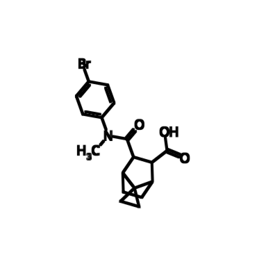 CN(C(=O)C1C(C(=O)O)C2CCC1C21CC1)c1ccc(Br)cc1